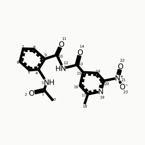 CC(=O)Nc1ccccc1C(=O)NC(=O)c1cc(C)nc([N+](=O)[O-])c1